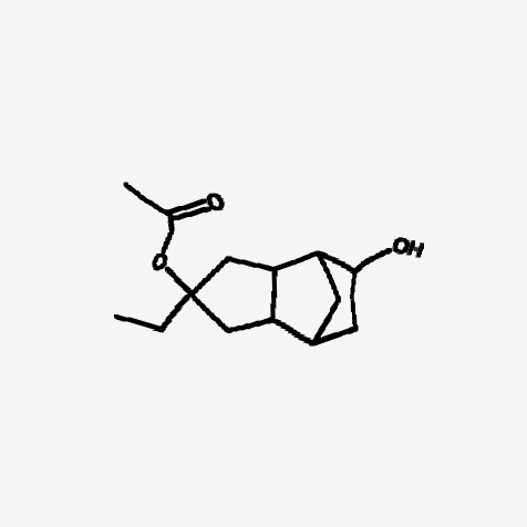 CCC1(OC(C)=O)CC2C3CC(O)C(C3)C2C1